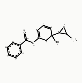 CC1OC1C1(O)C=CC=C(OC(=O)c2ccccc2)C1